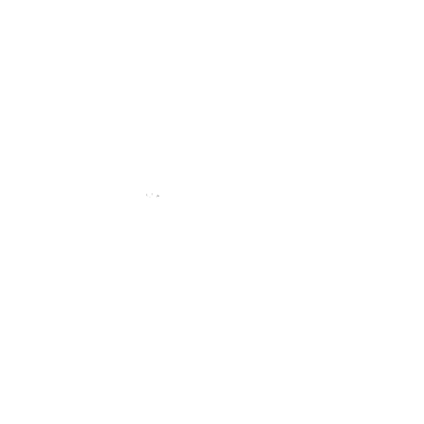 COCCC1=CCc2ccccc21